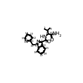 CC(C)C(NC(=O)c1nn(Cc2ccccn2)c2ccccc12)C(N)=O